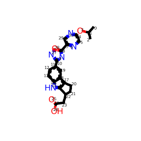 CC(C)Oc1cnc(-c2nc(-c3ccc4[nH]c5c(c4c3)CCC5CC(=O)O)no2)cn1